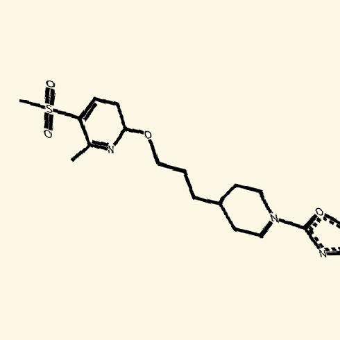 CCc1noc(N2CCC(CCCOC3CC=C(S(C)(=O)=O)C(C)=N3)CC2)n1